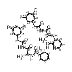 C[C@H](N[C@@H](C)c1ccccc1)C(=O)NC(=O)Cc1cc(F)cc(F)c1.C[C@H](Nc1cccnc1O)C(=O)NC(=O)Cc1cc(F)cc(F)c1